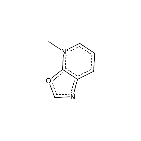 C[n+]1cccc2ncoc21